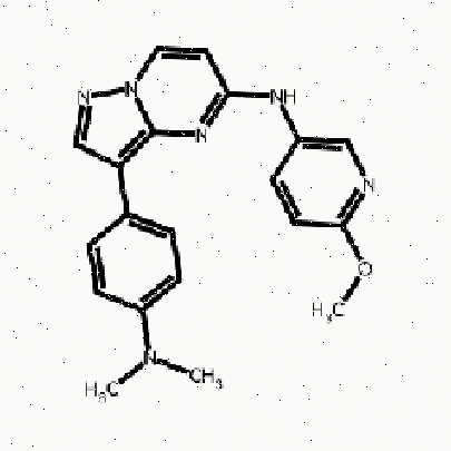 COc1ccc(Nc2ccn3ncc(-c4ccc(N(C)C)cc4)c3n2)cn1